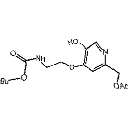 CC(=O)OCc1cc(OCCNC(=O)OC(C)(C)C)c(O)cn1